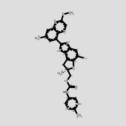 COc1cnc2c(-c3nc4cc(F)c5c(c4s3)C[C@](C)(COC(=O)Nc3cnc(C)nc3)O5)cc(C)cc2n1